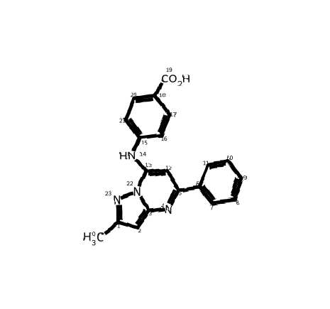 Cc1cc2nc(-c3ccccc3)cc(Nc3ccc(C(=O)O)cc3)n2n1